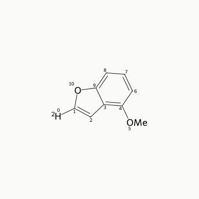 [2H]c1cc2c(OC)cccc2o1